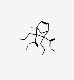 CCCC1(C(=O)OC)[C@@H]2C=C[C@H](C2)C1(CCC)C(=O)OC